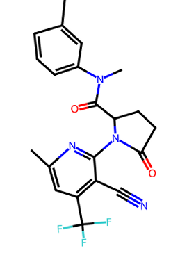 Cc1cccc(N(C)C(=O)C2CCC(=O)N2c2nc(C)cc(C(F)(F)F)c2C#N)c1